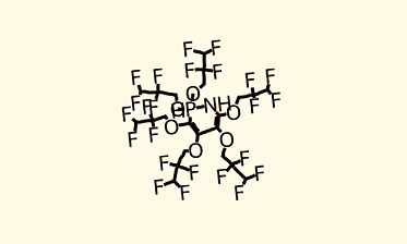 FC(F)C(F)(F)COC1=C(OCC(F)(F)C(F)F)C(OCC(F)(F)C(F)F)=C(OCC(F)(F)C(F)F)[PH](OCC(F)(F)C(F)F)(OCC(F)(F)C(F)F)N1